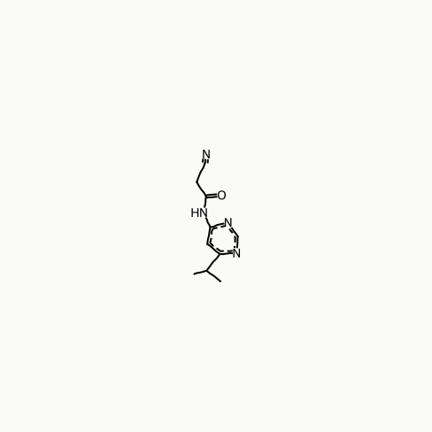 CC(C)c1cc(NC(=O)CC#N)ncn1